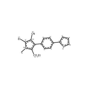 CCOC(=O)c1c(-c2ccc(-c3cccs3)cc2)c(C#N)c(CC)n1C